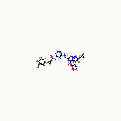 O=C(Nc1cc(NCc2cn3nc(C4CC4)cc(N4CCOC4=O)c3n2)ncn1)[C@H]1C[C@@H]1c1cccc(Cl)c1